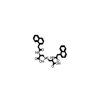 O=C(Cc1cccc2ccccc12)NC(CSSCC(NC(=O)Cc1cccc2ccccc12)C(=O)O)C(=O)O